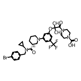 CC(C)(Oc1cc(N2CCC[C@@H](C(=O)N(Cc3ccc(Br)cc3)C3CC3)C2)cc(C(F)(F)F)c1)C(=O)N1CCN(C(=O)O)CC1